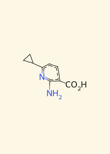 Nc1nc(C2CC2)ccc1C(=O)O